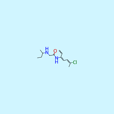 C=C/C(=C\C=C(/C)Cl)NC(=O)CNC(C)CC